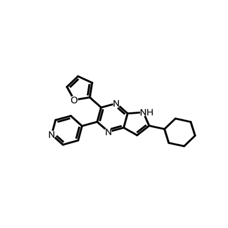 c1coc(-c2nc3[nH]c(C4CCCCC4)cc3nc2-c2ccncc2)c1